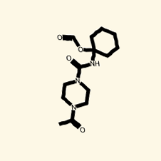 CC(=O)N1CCN(C(=O)NC2(OC=O)CCCCC2)CC1